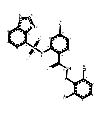 O=C(NCc1c(Cl)cccc1Cl)c1ccc(Cl)cc1NS(=O)(=O)c1cccc2nsnc12